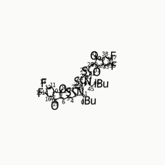 CCC(C)Cn1c2cc(C=C3C(=O)c4cc(F)c(F)cc4C3=O)sc2c2sc3c4sc(C=C5C(=O)c6cc(F)c(F)cc6C5=O)cc4n(CC(C)CC)c3c21